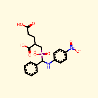 O=C(O)CCC(CP(=O)(O)C(Nc1ccc([N+](=O)[O-])cc1)c1ccccc1)C(=O)O